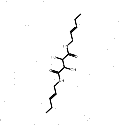 CC/C=C/CNC(=O)C(O)C(O)C(=O)NC/C=C/CC